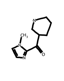 Cn1ccnc1C(=O)C1CCC[N]C1